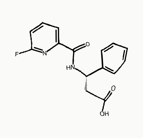 O=C(O)C[C@H](NC(=O)c1cccc(F)n1)c1ccccc1